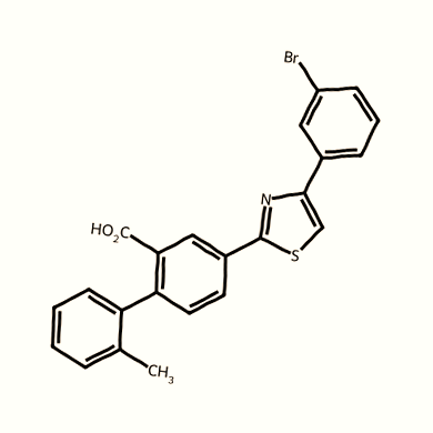 Cc1ccccc1-c1ccc(-c2nc(-c3cccc(Br)c3)cs2)cc1C(=O)O